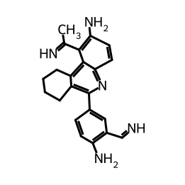 CC(=N)c1c(N)ccc2nc(-c3ccc(N)c(C=N)c3)c3c(c12)CCCC3